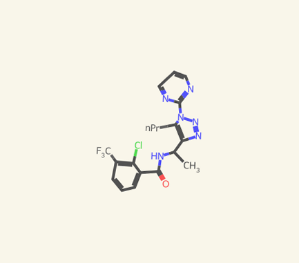 CCCc1c(C(C)NC(=O)c2cccc(C(F)(F)F)c2Cl)nnn1-c1ncccn1